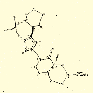 N#CN1CCN2CCN(c3ncc([C@@H]4CCCC[C@H]4C(F)(F)F)s3)C(=O)[C@H]2C1